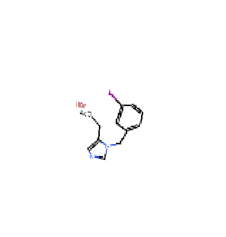 Br.CC(=O)OCc1cncn1Cc1cccc(I)c1